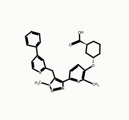 Cc1nc(-c2nnn(C)c2Cc2cc(-c3ccccc3)ccn2)ccc1O[C@H]1CCC[C@H](C(=O)O)C1